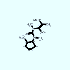 CCCC/C(=C(\C)OC)N(C)C(=O)N(C)C1CC=CCC1OC